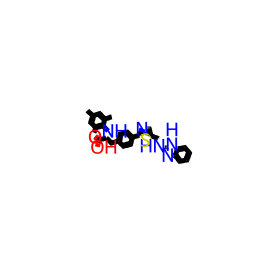 Cc1cc(C)c(NC(Cc2ccc(-c3ncc(CNc4nc5ccccc5[nH]4)s3)cc2)C(=O)O)c(C)c1